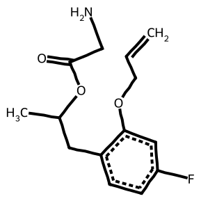 C=CCOc1cc(F)ccc1CC(C)OC(=O)CN